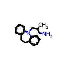 CC(CN)CN1c2ccccc2CCc2ccccc21